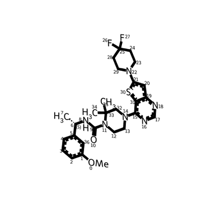 COc1cccc([C@H](C)NC(=O)N2CCN(c3ncnc4cc(N5CCC(F)(F)CC5)sc34)CC2(C)C)c1